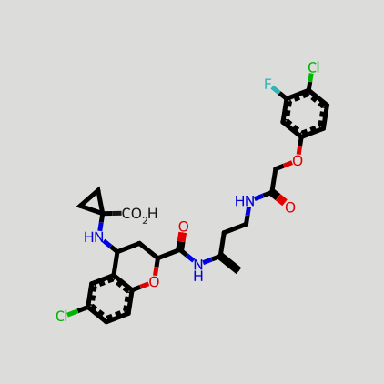 C=C(CCNC(=O)COc1ccc(Cl)c(F)c1)NC(=O)C1CC(NC2(C(=O)O)CC2)c2cc(Cl)ccc2O1